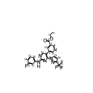 CCOC(=O)c1cncc(-c2cnc(Nc3cccc(F)c3)nc2-n2ccc(C(F)(F)F)n2)c1